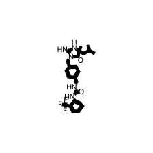 CC(C)CC1(C)NC(=N)N(Cc2ccc(CNC(=O)Nc3ccccc3C(F)(F)F)cc2)C1=O